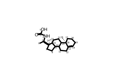 CC(NC(=O)O)=C1CCC2C3CCC4=CCCC[C@]4(C)C3CC[C@]12C